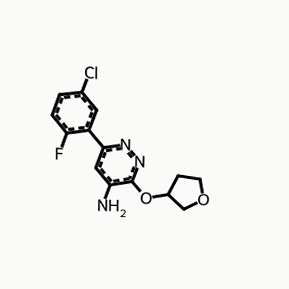 Nc1cc(-c2cc(Cl)ccc2F)nnc1OC1CCOC1